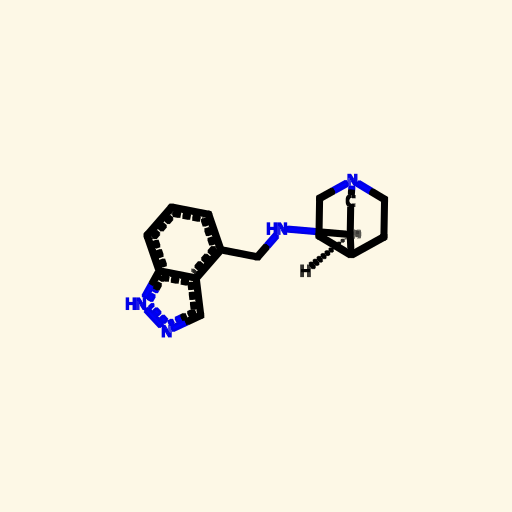 c1cc(CN[C@H]2CN3CCC2CC3)c2cn[nH]c2c1